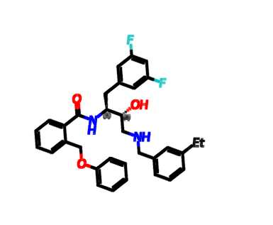 CCc1cccc(CNC[C@@H](O)[C@H](Cc2cc(F)cc(F)c2)NC(=O)c2ccccc2COc2ccccc2)c1